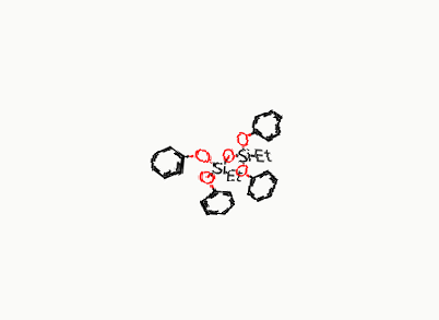 CC[Si](Oc1ccccc1)(Oc1ccccc1)O[Si](CC)(Oc1ccccc1)Oc1ccccc1